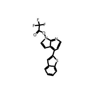 O=C(On1ccc2c(-c3cc4ccccc4s3)ccnc21)C(F)(F)F